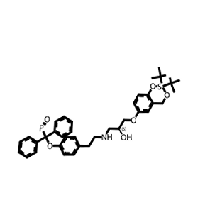 CC(C)(C)[Si]1(C(C)(C)C)OCc2cc(OC[C@@H](O)CNCCc3ccc(OC(P=O)(c4ccccc4)c4ccccc4)cc3)ccc2O1